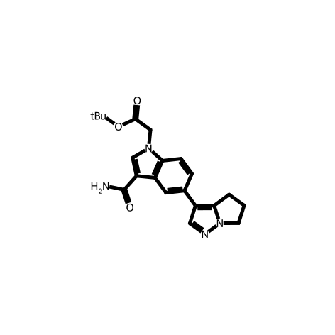 CC(C)(C)OC(=O)Cn1cc(C(N)=O)c2cc(-c3cnn4c3CCC4)ccc21